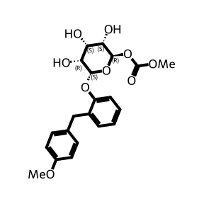 COC(=O)O[C@H]1O[C@H](Oc2ccccc2Cc2ccc(OC)cc2)[C@H](O)[C@H](O)[C@@H]1O